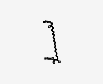 CCCCCCOC(=O)CCCCCCCCCCCCCCCCCC(CC)C(=O)OCCCCCC